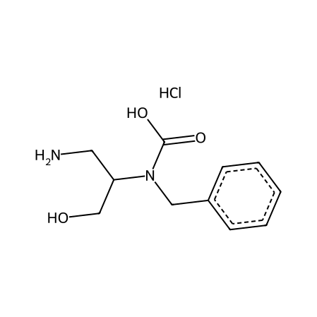 Cl.NCC(CO)N(Cc1ccccc1)C(=O)O